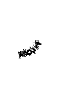 Cc1cc(NC(=O)C23CC2C3)nc2cc(S(=O)(=O)NC3(C)CC3)ccc12